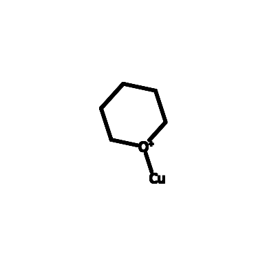 [Cu][O+]1CCCCC1